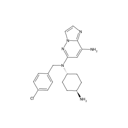 Nc1cc(N(Cc2ccc(Cl)cc2)[C@H]2CC[C@H](N)CC2)nn2ccnc12